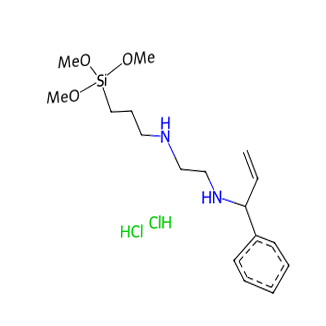 C=CC(NCCNCCC[Si](OC)(OC)OC)c1ccccc1.Cl.Cl